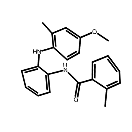 COc1ccc(Nc2ccccc2NC(=O)c2ccccc2C)c(C)c1